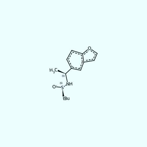 C[C@H](N[S@+]([O-])C(C)(C)C)c1ccc2occc2c1